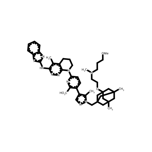 COCCCN(C)CCOC12CC3(C)CC(C)(CC(Cn4ncc(-c5ccc(N6CCCc7c6nnc(Nc6nc8ccccc8s6)c7C)nc5C(=O)O)c4C)(C3)C1)C2